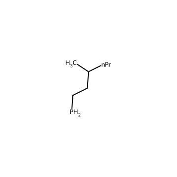 CCCC(C)CCP